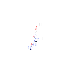 CCOC(=O)CCNC(=O)c1nc(NC(=O)c2nccn2C)cn1C